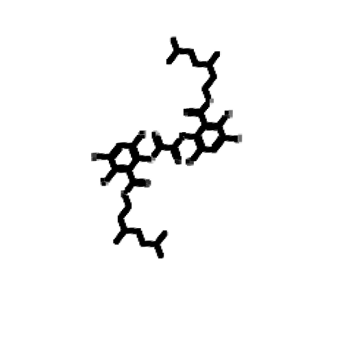 CC(C)CCC(C)CCOC(=O)c1c(Cl)c(Cl)cc(Cl)c1OC(=O)C(=O)Oc1c(Cl)cc(Cl)c(Cl)c1C(=O)OCCC(C)CCC(C)C